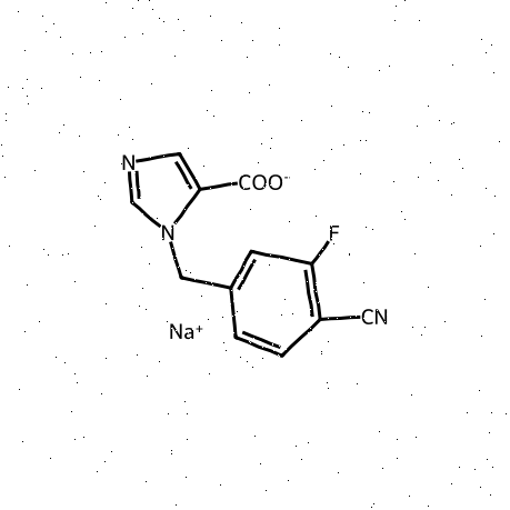 N#Cc1ccc(Cn2cncc2C(=O)[O-])cc1F.[Na+]